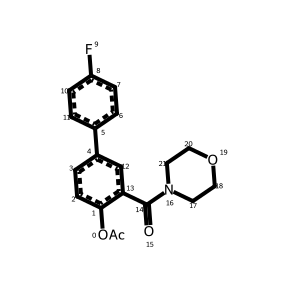 CC(=O)Oc1ccc(-c2ccc(F)cc2)cc1C(=O)N1CCOCC1